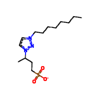 CCCCCCCCn1cc[n+](C(C)CCS(=O)(=O)[O-])n1